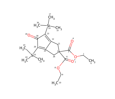 CCOC(=O)C1(C(=O)OCC)CC2=C([Si](C)(C)C)C(=O)C([Si](C)(C)C)=C2C1